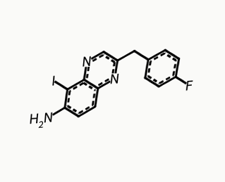 Nc1ccc2nc(Cc3ccc(F)cc3)cnc2c1I